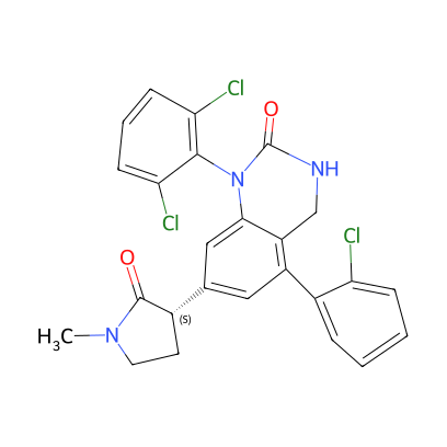 CN1CC[C@@H](c2cc(-c3ccccc3Cl)c3c(c2)N(c2c(Cl)cccc2Cl)C(=O)NC3)C1=O